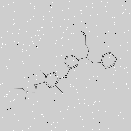 C=CCOC(Cc1ccccc1)c1cccc(Oc2cc(C)c(N=CN(C)CC)cc2C)c1